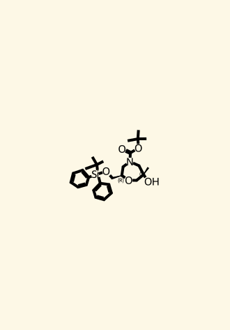 CC(C)(C)OC(=O)N1C[C@H](CO[Si](c2ccccc2)(c2ccccc2)C(C)(C)C)OC[C@@](C)(O)C1